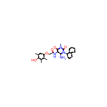 Cc1cc(OCC(=O)Nc2c(N)n(-c3cccc4ccccc34)c(=O)n(C)c2=O)c(C)c(C)c1O